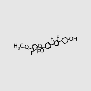 CCOCc1ccc(OC(=O)c2ccc(-c3ccc(C4CCC(O)CC4)c(F)c3F)cc2)c(F)c1F